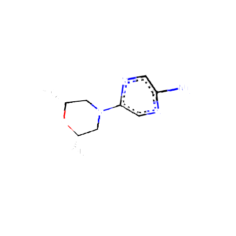 C[C@@H]1CN(c2cnc(N)cn2)C[C@H](C)O1